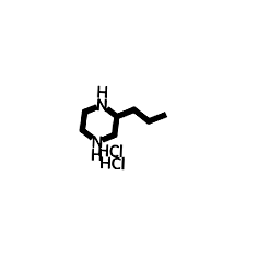 CCCC1CNCCN1.Cl.Cl